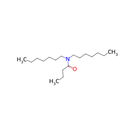 CCCCCCCN(CCCCCCC)C(=O)CCC